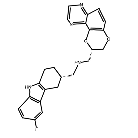 Fc1ccc2[nH]c3c(c2c1)C[C@@H](CNC[C@H]1COc2ccc4nccnc4c2O1)CC3